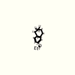 CCOc1ccc2c(c1)CCC(C)(C)C2